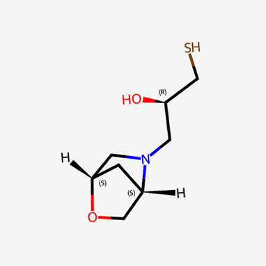 O[C@@H](CS)CN1C[C@@H]2C[C@H]1CO2